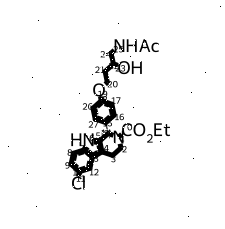 CCOC(=O)N1CCc2c([nH]c3ccc(Cl)cc23)[C@@H]1c1ccc(OCCC(O)CNC(C)=O)cc1